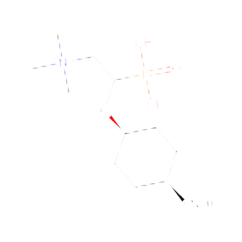 CCCCCCCCC[C@H]1CC[C@@H](OC(C[N+](C)(C)C)P(=O)(O)O)CC1